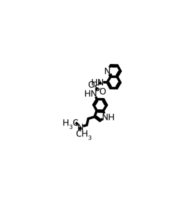 CN(C)CCc1c[nH]c2ccc(NS(=O)(=O)Nc3cccc4cccnc34)cc12